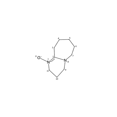 [O-][N+]1=C2CCCCCN2CCC1